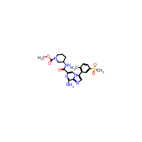 COC(=O)N1CCCC(NC(=O)c2cn3c(-c4cc(S(C)(=O)=O)ccc4C)cnc3c(N)n2)C1